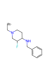 C[C](C)CN1CCC(NCc2ccccc2)C(F)C1